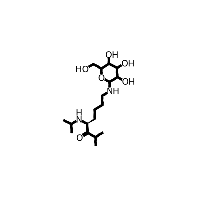 CC(C)N[C@@H](CCCCNC1OC(CO)C(O)C(O)C1O)C(=O)C(C)C